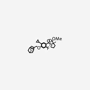 COC(=O)[C@]1(C)CCCN1C(=O)c1cc(C2CC2)c(OCC23CC4CC(CC2C4)C3)cc1F